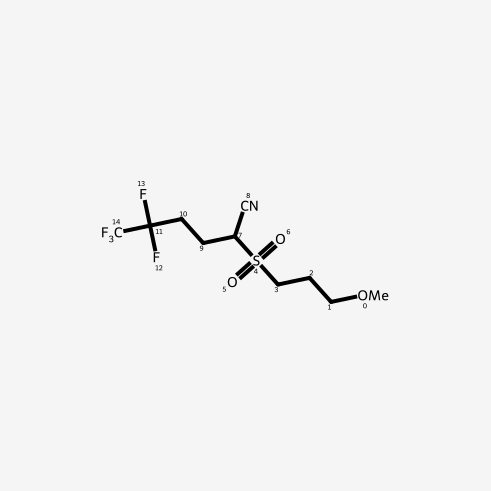 COCCCS(=O)(=O)C(C#N)CCC(F)(F)C(F)(F)F